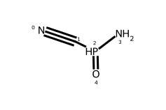 N#C[PH](N)=O